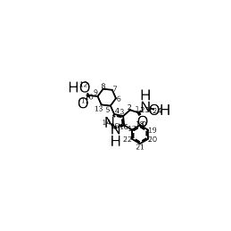 O=C(Cc1c(C2CCCC(C(=O)O)C2)n[nH]c1-c1ccccc1)NO